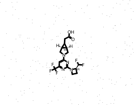 O=C(O)CC1[C@H]2CN(c3cc(C(F)(F)F)nc(N4CC[C@@H]4C(F)F)n3)C[C@@H]12